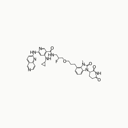 Cn1c(=O)n(C2CCC(=O)NC2=O)c2cccc(CCCOCC(F)CNC(=O)c3cnc(Nc4ccc5cnccc5n4)cc3NC3CC3)c21